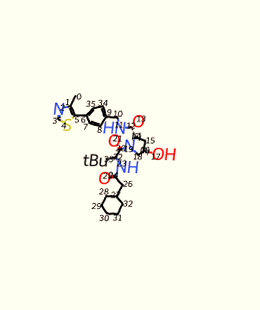 Cc1ncsc1-c1ccc(CNC(=O)[C@@H]2C[C@@H](O)CN2C(=O)C(NC(=O)CC2CCCCC2)C(C)(C)C)cc1